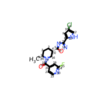 C[C@@H]1CC[C@H](c2nc(-c3cc(Cl)c[nH]3)no2)CN1C(=O)c1ccnc(F)c1